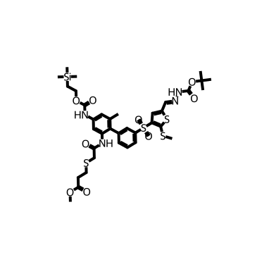 COC(=O)CCSCC(=O)Nc1cc(NC(=O)OCC[Si](C)(C)C)cc(C)c1-c1cccc(S(=O)(=O)c2cc(C=NNC(=O)OC(C)(C)C)sc2SC)c1